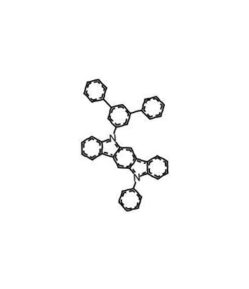 c1ccc(-c2cc(-c3ccccc3)cc(-n3c4ccccc4c4cc5c(cc43)c3ccccc3n5-c3ccccc3)c2)cc1